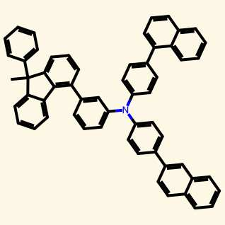 CC1(c2ccccc2)c2ccccc2-c2c(-c3cccc(N(c4ccc(-c5ccc6ccccc6c5)cc4)c4ccc(-c5cccc6ccccc56)cc4)c3)cccc21